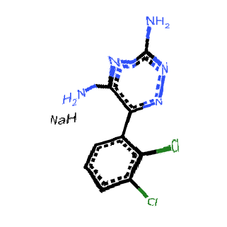 Nc1nnc(-c2cccc(Cl)c2Cl)c(N)n1.[NaH]